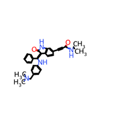 CC(C)NC(=O)C#Cc1ccc2c(c1)NC(=O)C2=C(Nc1ccc(CN(C)C)cc1)c1ccccc1